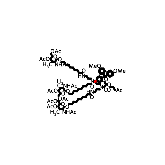 COc1ccc(C(OCC(OC(=O)CCC(C)=O)C(=O)N(CCCNC(=O)CCCCCCCCCO[C@@H]2OC(COC(C)=O)[C@H](OC(C)=O)[C@H](C)C2NC(C)=O)CCCN(CCCNC(=O)CCCCCCCCCO[C@@H]2OC(COC(C)=O)[C@H](OC(C)=O)[C@H](C)C2NC(C)=O)C(=O)CCCCCCCCCO[C@@H]2OC(COC(C)=O)[C@H](OC(C)=O)[C@H](C)C2NC(C)=O)(c2ccccc2)c2ccc(OC)cc2)cc1